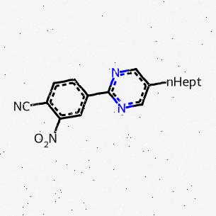 CCCCCCCc1cnc(-c2ccc(C#N)c([N+](=O)[O-])c2)nc1